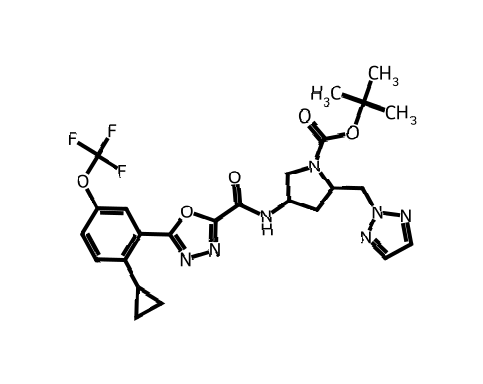 CC(C)(C)OC(=O)N1CC(NC(=O)c2nnc(-c3cc(OC(F)(F)F)ccc3C3CC3)o2)CC1Cn1nccn1